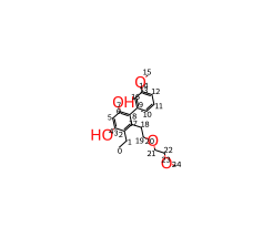 CCc1c(O)cc(O)c(-c2[c]ccc(OC)c2)c1CCOCCOC